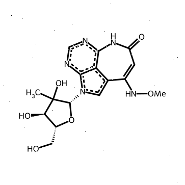 CONC1=CC(=O)Nc2ncnc3c2c1cn3[C@@H]1O[C@H](CO)[C@@H](O)C1(C)O